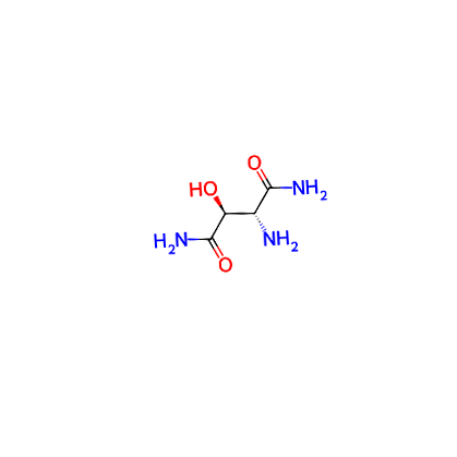 NC(=O)[C@@H](O)[C@@H](N)C(N)=O